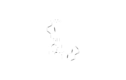 COc1ccc(CNC(=O)NC(=N)NCc2cccc3ccccc23)cc1